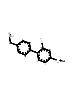 CCCCCCc1ccc(-c2ccc(CC(C)CC)cc2)c(F)c1